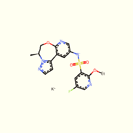 CCOc1ncc(F)cc1S(=O)(=O)[N-]c1cnc2c(c1)-c1ccnn1[C@@H](C)CO2.[K+]